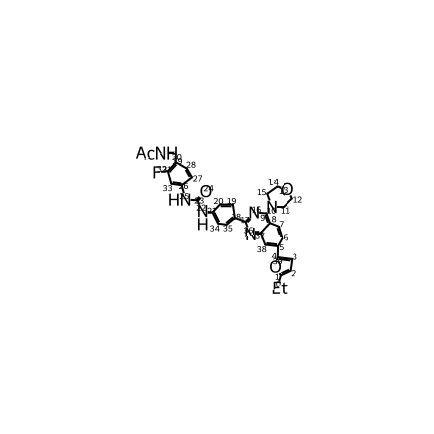 CCc1ccc(-c2ccc3c(N4CCOCC4)nc(-c4ccc(NC(=O)Nc5ccc(NC(C)=O)c(F)c5)cc4)nc3c2)o1